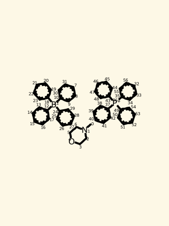 CN1CCOCC1.c1ccc([B-](c2ccccc2)(c2ccccc2)c2ccccc2)cc1.c1ccc([P+](c2ccccc2)(c2ccccc2)c2ccccc2)cc1